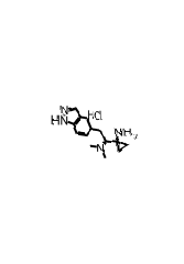 CN(C)C(Cc1ccc2[nH]ncc2c1)C1(N)CC1.Cl